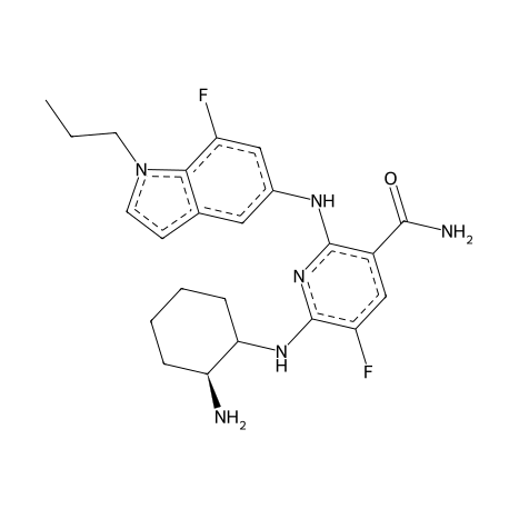 CCCn1ccc2cc(Nc3nc(NC4CCCC[C@@H]4N)c(F)cc3C(N)=O)cc(F)c21